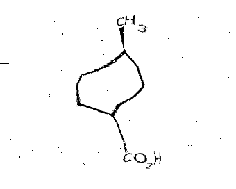 C[C@@H]1CCC(C(=O)O)C1